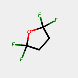 FC1(F)CCC(F)(F)O1